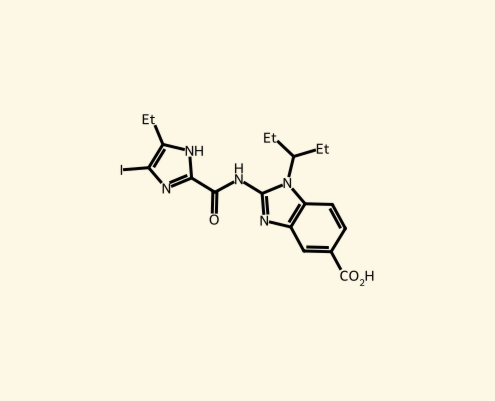 CCc1[nH]c(C(=O)Nc2nc3cc(C(=O)O)ccc3n2C(CC)CC)nc1I